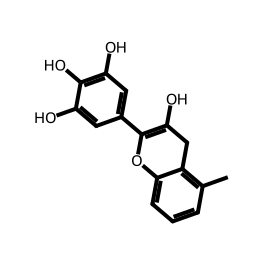 Cc1cccc2c1CC(O)=C(c1cc(O)c(O)c(O)c1)O2